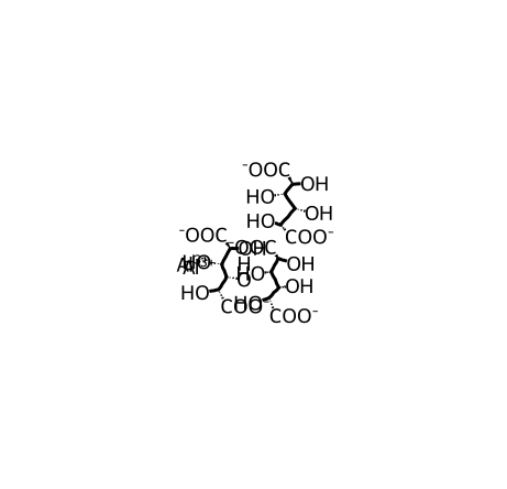 O=C([O-])[C@@H](O)[C@@H](O)[C@H](O)[C@@H](O)C(=O)[O-].O=C([O-])[C@@H](O)[C@@H](O)[C@H](O)[C@@H](O)C(=O)[O-].O=C([O-])[C@@H](O)[C@@H](O)[C@H](O)[C@@H](O)C(=O)[O-].[Al+3].[Al+3]